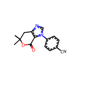 CC1(C)Cc2ncn(-c3ccc(C#N)cc3)c2C(=O)O1